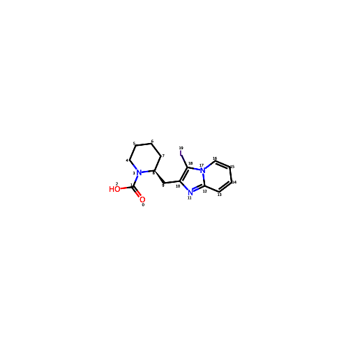 O=C(O)N1CCCC[C@H]1Cc1nc2ccccn2c1I